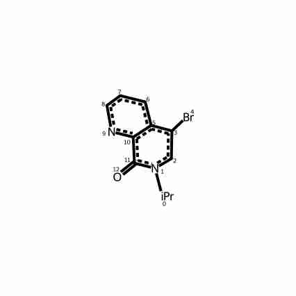 CC(C)n1cc(Br)c2cccnc2c1=O